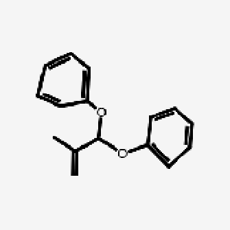 C=C(C)C(Oc1ccccc1)Oc1ccccc1